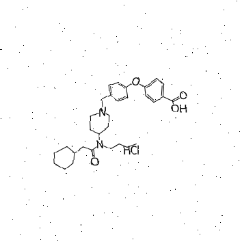 CCCCN(C(=O)CC1CCCCC1)C1CCN(Cc2ccc(Oc3ccc(C(=O)O)cc3)cc2)CC1.Cl